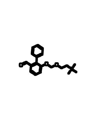 C[Si](C)(C)CCOCOc1cccc(C=O)c1-c1ccccc1